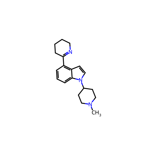 CN1CCC(n2ccc3c(C4=NCCCC4)cccc32)CC1